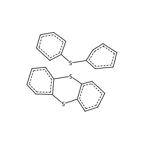 c1ccc(Sc2ccccc2)cc1.c1ccc2c(c1)Sc1ccccc1S2